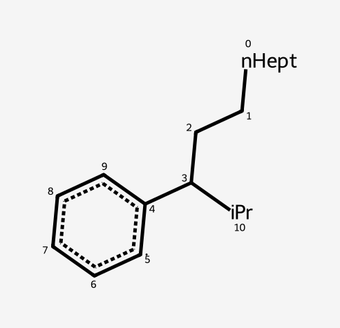 CCCCCCCCCC(c1[c]cccc1)C(C)C